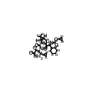 CC1(C)[C@H]2[C@@H](C(=O)NC(CC3CC3)C(=O)C(N)=O)N(C(=O)[C@@H](NC(=O)OC3CC3)C3CCCCC3)C[C@H]21